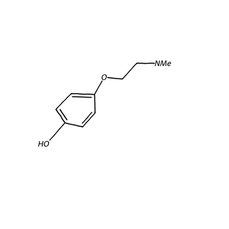 CNCCOc1ccc(O)cc1